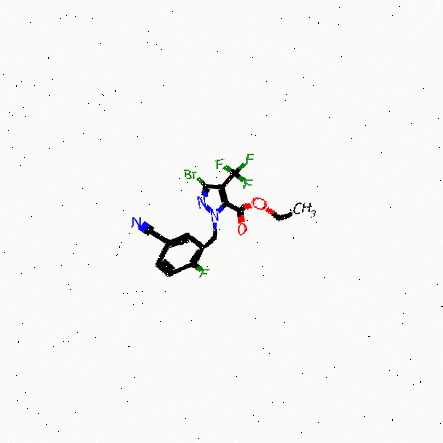 CCOC(=O)c1c(C(F)(F)F)c(Br)nn1Cc1cc(C#N)ccc1F